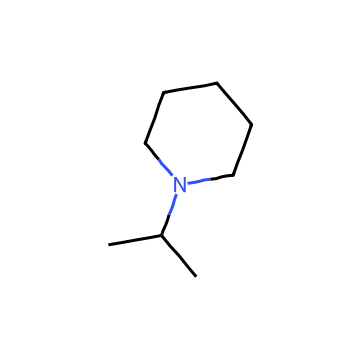 CC(C)N1CCCCC1